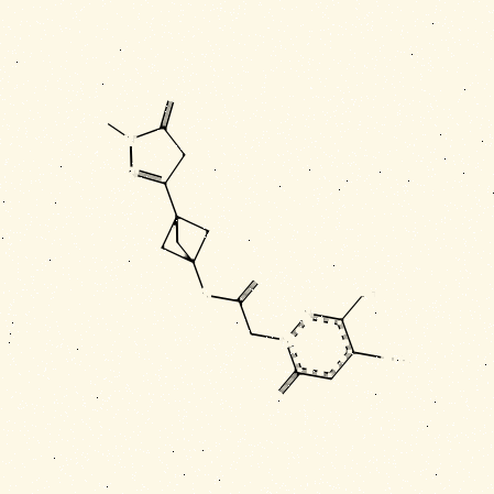 CC(C)COc1cc(=O)n(CC(=O)NC23CC(C4=NN(C)C(=O)C4)(C2)C3)nc1C(C)C